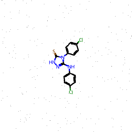 S=c1[nH]nc(Nc2ccc(Cl)cc2)n1-c1ccc(Cl)cc1